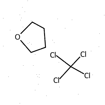 C1CCOC1.ClC(Cl)(Cl)Cl